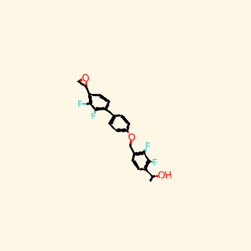 CC(O)c1ccc(COc2ccc(-c3ccc(C4CO4)c(F)c3F)cc2)c(F)c1F